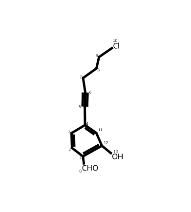 O=Cc1ccc(C#CCCCCl)cc1O